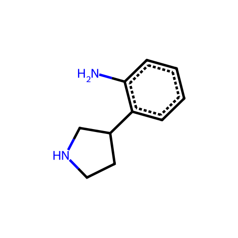 Nc1ccccc1C1CCNC1